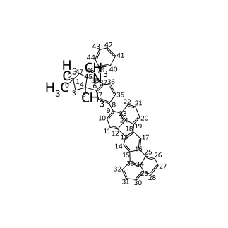 CC1(C)CC2(C)c3cc(-c4ccc5c6cc7c(cc6c6cccc4c65)c4cccc5cccc7c54)ccc3N(c3ccccc3)C2(C)C1